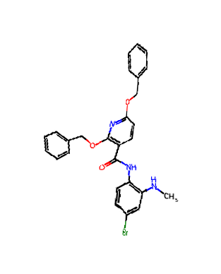 CNc1cc(Br)ccc1NC(=O)c1ccc(OCc2ccccc2)nc1OCc1ccccc1